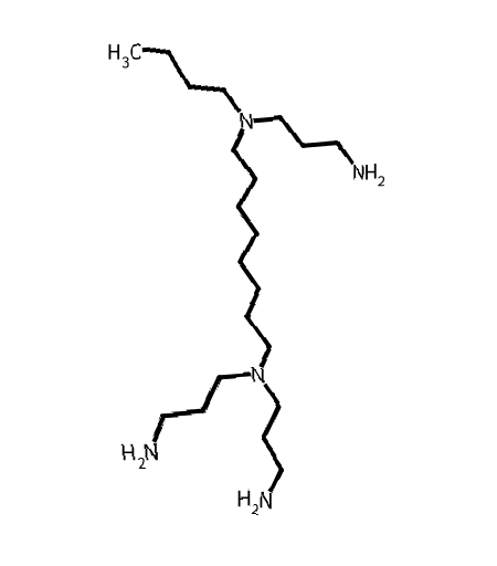 CCCCN(CCCN)CCCCCCCCN(CCCN)CCCN